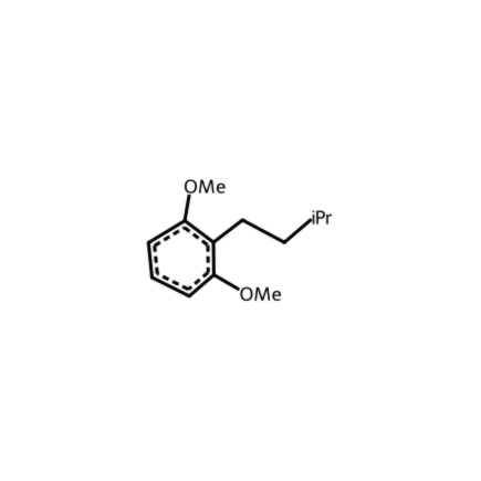 COc1cccc(OC)c1CCC(C)C